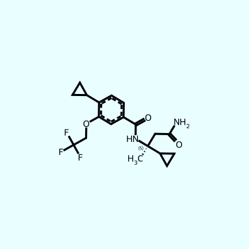 C[C@@](CC(N)=O)(NC(=O)c1ccc(C2CC2)c(OCC(F)(F)F)c1)C1CC1